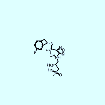 C[S@@](=N)(=O)C[C@@H](O)CNc1nonc1C(=N[C@H]1Cc2ccc(F)cc21)NO